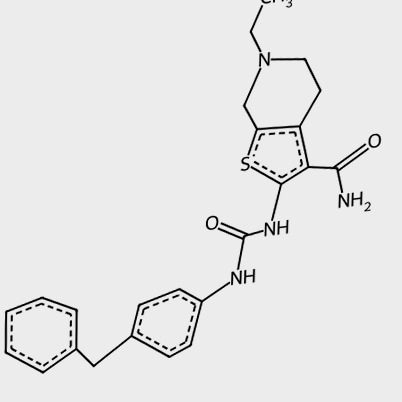 CCN1CCc2c(sc(NC(=O)Nc3ccc(Cc4ccccc4)cc3)c2C(N)=O)C1